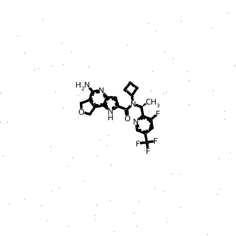 C[C@@H](c1ncc(C(F)(F)F)cc1F)N(C(=O)c1cc2nc(N)c3c(c2[nH]1)COC3)C1CCC1